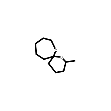 CC1CCCC2(CCCCCO2)O1